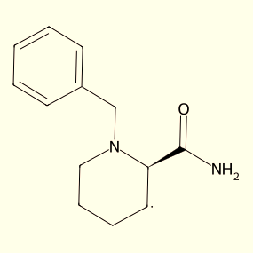 NC(=O)[C@H]1[CH]CCCN1Cc1ccccc1